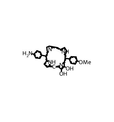 COc1ccc(-c2c3nc(cc4ccc([nH]4)c(-c4ccc(N)cc4)c4nc(cc5ccc2[nH]5)CC4)C(O)=C3O)cc1